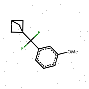 COc1cccc(C(F)(F)C23CC(C2)C3)c1